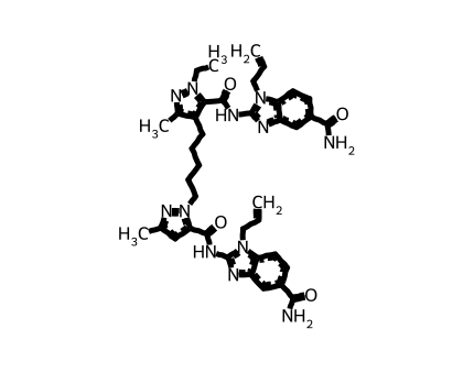 C=CCn1c(NC(=O)c2cc(C)nn2CCCCCc2c(C)nn(CC)c2C(=O)Nc2nc3cc(C(N)=O)ccc3n2CC=C)nc2cc(C(N)=O)ccc21